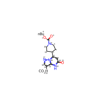 CCCCOC(=O)N1CCC(c2cc(=O)[nH]c3c(C(=O)O)cnn23)CC1